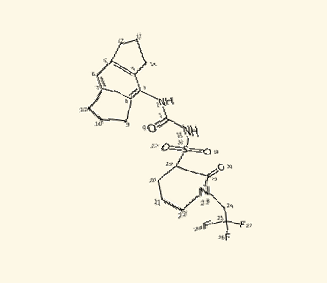 O=C(Nc1c2c(cc3c1CCC3)CCC2)NS(=O)(=O)C1CCCN(CC(F)(F)F)C1=O